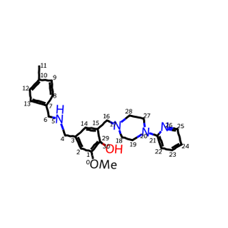 COc1cc(CNCc2ccc(C)cc2)cc(CN2CCN(c3ccccn3)CC2)c1O